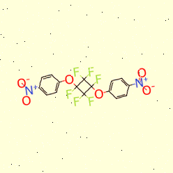 O=[N+]([O-])c1ccc(OC2(F)C(F)(F)C(F)(Oc3ccc([N+](=O)[O-])cc3)C2(F)F)cc1